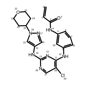 C=CC(=O)Nc1cccc(Nc2nc(Nc3cnn(C4CCOCC4)c3)ncc2Cl)c1